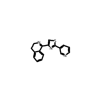 c1cncc(-c2nc(C3=NCCc4ccccc43)cs2)c1